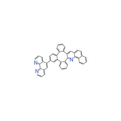 c1ccc2c(c1)-c1ccc(-c3cc4cccnc4c4ncccc34)cc1-c1ccccc1-c1nc3c(ccc4ccccc43)cc1-2